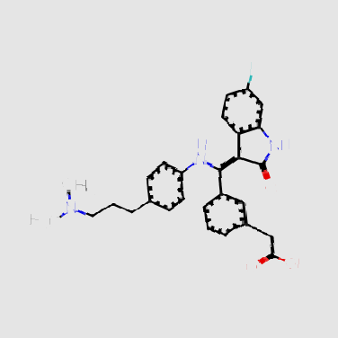 CN(C)CCCc1ccc(NC(=C2C(=O)Nc3cc(F)ccc32)c2cccc(CC(=O)O)c2)cc1